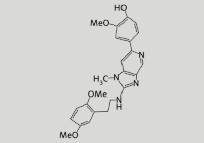 COc1ccc(OC)c(CCNc2nc3cnc(-c4ccc(O)c(OC)c4)cc3n2C)c1